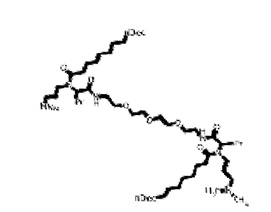 CCCCCCCCCCCCCCCCCC(=O)N(CCCNC)C(C(=O)NCCOCCOCCOCCNC(=O)C(C(C)C)N(CCCN(C)C)C(=O)CCCCCCCCCCCCCCCCC)C(C)C